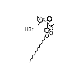 Br.CCCCCCCCCCCCCCOc1ccc(CN(C(C)=O)c2ccccc2CC2(C)C=C(C)C=NC2)cc1OC